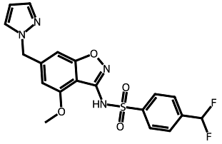 COc1cc(Cn2cccn2)cc2onc(NS(=O)(=O)c3ccc(C(F)F)cc3)c12